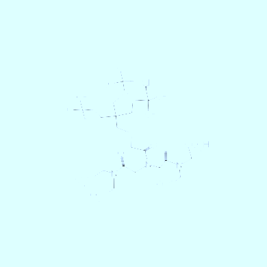 O=C(O)CN(CC(=O)O)C(=O)CN(CC(=O)N(CC(=O)O)CC(=O)O)C(=O)COCC(COC(C(F)(F)F)(C(F)(F)F)C(F)(F)F)(COC(C(F)(F)F)(C(F)(F)F)C(F)(F)F)COC(C(F)(F)F)(C(F)(F)F)C(F)(F)F